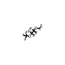 CC(F)(F)OC(F)(F)C(F)(F)OCF